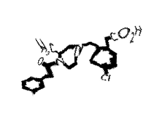 C[C@H]1CN(Cc2cc(Cl)ccc2CC(=O)O)CCN1C(=O)Cc1ccccc1